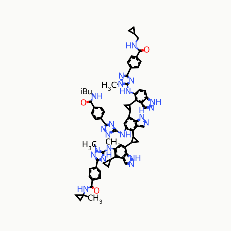 CCC(C)NC(=O)c1ccc(-c2nc(Nc3cc(C4CC4c4c(Nc5nc(-c6ccc(C(=O)NCC7CC7)cc6)nn5C)ccc5[nH]ncc45)c4[nH]ncc4c3C3CC3c3cc(Nc4nc(-c5ccc(C(=O)NC6(C)CC6)cc5)nn4C)c(C4CC4)c4cn[nH]c34)n(C)n2)cc1